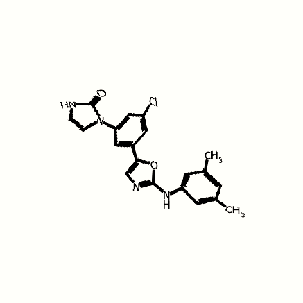 Cc1cc(C)cc(Nc2ncc(-c3cc(Cl)cc(N4CCNC4=O)c3)o2)c1